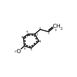 C=CCc1ccc([O])cc1